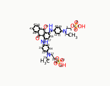 CCN(CCOS(=O)(=O)O)c1ccc(Nc2ccc(Nc3ccc(N(CC)CCOS(=O)(=O)O)cc3)c3c2C(=O)c2ccccc2C3=O)cc1